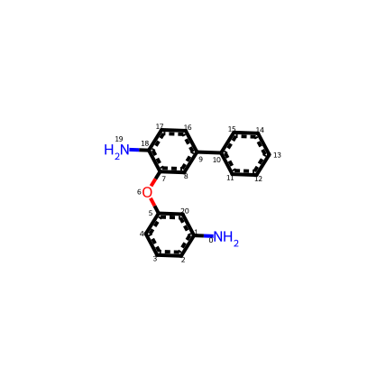 Nc1cccc(Oc2cc(-c3ccccc3)ccc2N)c1